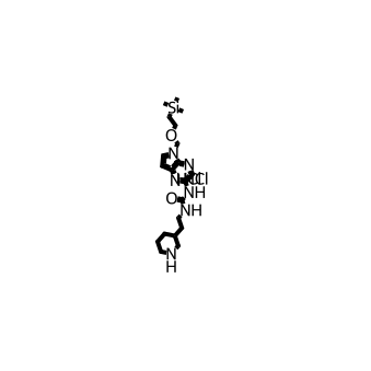 C[Si](C)(C)CCOCn1ccc2nc(NC(=O)NCCC3CCCNC3)cnc21.Cl.Cl